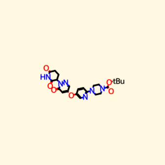 CC(C)(C)OC(=O)N1CCN(c2ccc(Oc3cnn(C4CCC(=O)NC4=O)c(=O)c3)cn2)CC1